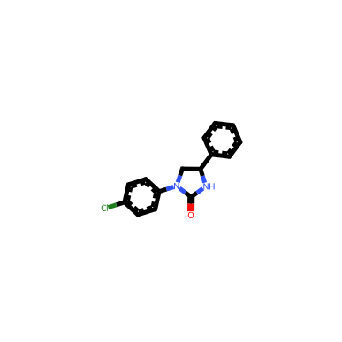 O=C1NC(c2ccccc2)CN1c1ccc(Cl)cc1